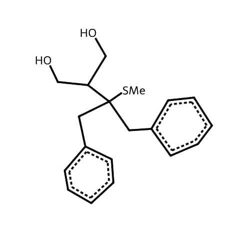 CSC(Cc1ccccc1)(Cc1ccccc1)C(CO)CO